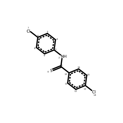 S=C(Nc1ccc(Cl)cc1)c1ccc(Cl)cc1